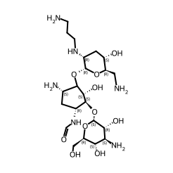 NCCCN[C@@H]1C[C@H](O)[C@@H](CN)O[C@@H]1OC1[C@@H](N)C[C@@H](NC=O)[C@H](O[C@H]2O[C@H](CO)[C@@H](O)[C@H](N)[C@H]2O)[C@H]1O